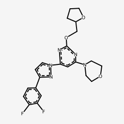 Fc1ccc(-c2ccn(-c3cc(N4CCOCC4)nc(OCC4CCCO4)n3)n2)cc1F